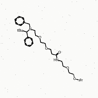 CCCOCCOCCNC(=O)CCOCCOCCN(Cc1ccccc1)C(c1ccccc1)C(C)(C)C